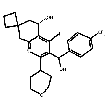 OC(c1ccc(C(F)(F)F)cc1)c1c(C2CCOCC2)nc2c(c1I)[C@@H](O)CC1(CCC1)C2